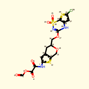 O=COC(=O)C(=O)Nc1cc2c(s1)COC(COC1=NS(=O)(=O)c3sc(Cl)cc3N1)C2